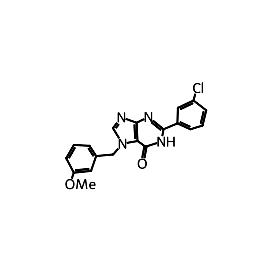 COc1cccc(Cn2cnc3nc(-c4cccc(Cl)c4)[nH]c(=O)c32)c1